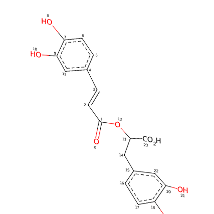 O=C(C=Cc1ccc(O)c(O)c1)OC(Cc1ccc(O)c(O)c1)C(=O)O